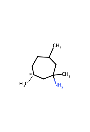 CC1CC[C@@H](C)CC(C)(N)C1